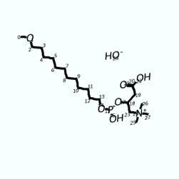 COCCCCCCCCCCCCO[P@](O)OC(CC(=O)O)C[N+](C)(C)C.[OH-]